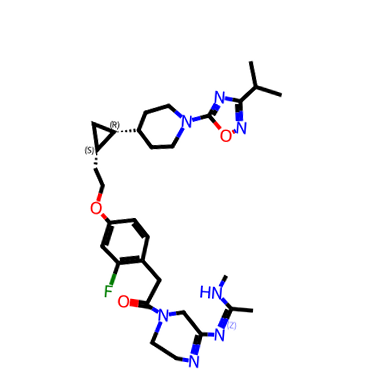 CN/C(C)=N\C1=NCCN(C(=O)Cc2ccc(OCC[C@@H]3C[C@@H]3C3CCN(c4nc(C(C)C)no4)CC3)cc2F)C1